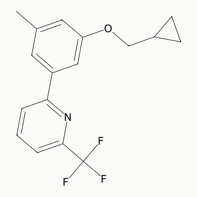 Cc1cc(OCC2CC2)cc(-c2cccc(C(F)(F)F)n2)c1